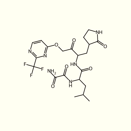 CC(C)CC(NC(=O)C(N)=O)C(=O)NC(CC1CCNC1=O)C(=O)COc1ccnc(C(F)(F)F)n1